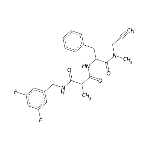 C#CCN(C)C(=O)C(Cc1ccccc1)NC(=O)C(C)C(=O)NCc1cc(F)cc(F)c1